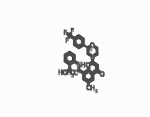 Cc1cc([C@@H](C)Nc2ccccc2C(=O)O)c2oc(N3CCO[C@H](c4ccc(C(F)(F)F)cc4)C3)cc(=O)c2c1